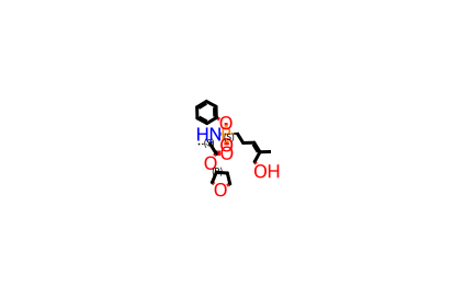 CC(=CCC[P@@](=O)(N[C@@H](C)C(=O)O[C@@H]1CCOC1)Oc1ccccc1)CO